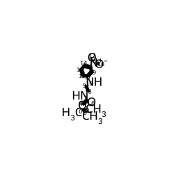 CC(C)(C)OC(=O)NCCNc1cccc([N+](=O)[O-])c1